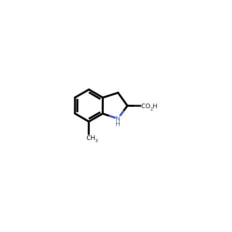 Cc1cccc2c1NC(C(=O)O)C2